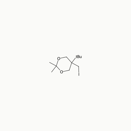 CC1(C)OCC(CI)(C(C)(C)C)CO1